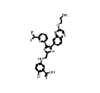 NCCOc1cnc2ccc(-c3[nH]c(CNc4ccc(Cl)c(C(=O)O)c4)nc3-c3cccc(C(F)F)n3)cc2n1